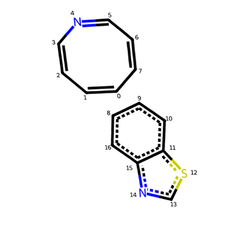 C1=C\C=C/N=C\C=C/1.c1ccc2scnc2c1